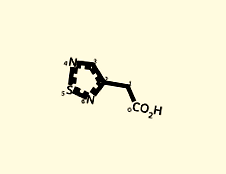 O=C(O)Cc1cnsn1